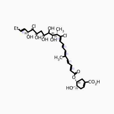 CC/C=C/[C@@H](O)[C@H](Cl)[C@H](O)C[C@@H](O)C(O)[C@H](O)[C@H](C)/C(Cl)=C/C=C/C=C(C)/C=C/C=C/C(=O)O[C@@H]1CC(C(=O)O)=CC[C@@H]1O